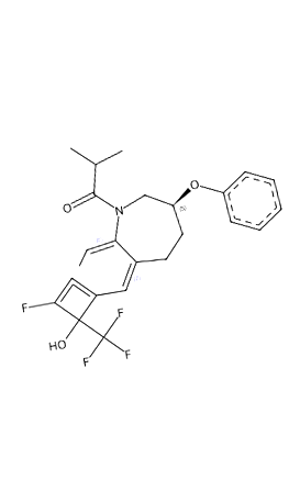 C/C=C1\C(=C/C2=C=C(F)C2(O)C(F)(F)F)CC[C@H](Oc2ccccc2)CN1C(=O)C(C)C